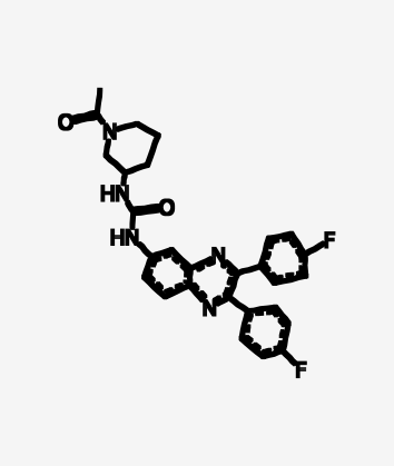 CC(=O)N1CCCC(NC(=O)Nc2ccc3nc(-c4ccc(F)cc4)c(-c4ccc(F)cc4)nc3c2)C1